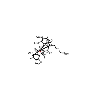 CCCCCCCCCCCCCCCC(=O)NC1CS[C@@H]2c3c(O)c(C)c4c(c3[C@H](COC1=O)N1[C@@H]2C2NC(Cc3cc(C)c(OC)c(O)c32)[C@@H]1C#N)OCO4